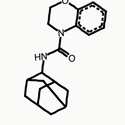 O=C(NC1C2CC3CC(C2)CC1C3)N1CCOc2ccccc21